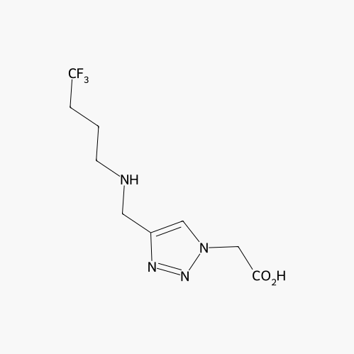 O=C(O)Cn1cc(CNCCCC(F)(F)F)nn1